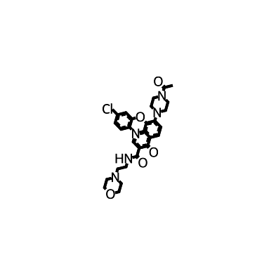 CC(=O)N1CCN(c2ccc3c(=O)c(C(=O)NCCN4CCOCC4)cn4c3c2Oc2cc(Cl)ccc2-4)CC1